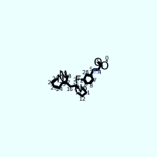 COC(=O)/C=C/c1ccc([C@@H]2CCCN2CCc2cnn3ccccc23)c(F)c1